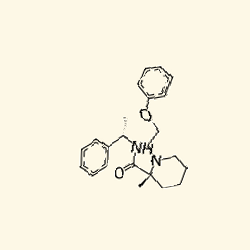 C[C@H](NC(=O)[C@@]1(C)CCCCN1CCOc1ccccc1)c1ccccc1